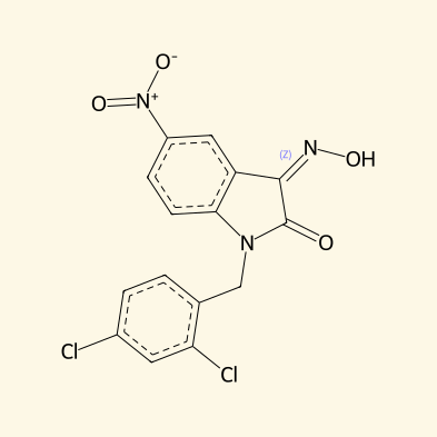 O=C1/C(=N\O)c2cc([N+](=O)[O-])ccc2N1Cc1ccc(Cl)cc1Cl